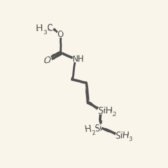 COC(=O)NCCC[SiH2][SiH2][SiH3]